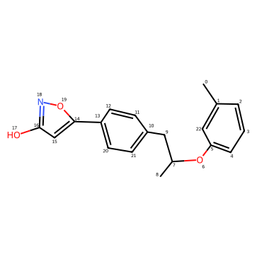 Cc1cccc(OC(C)Cc2ccc(-c3cc(O)no3)cc2)c1